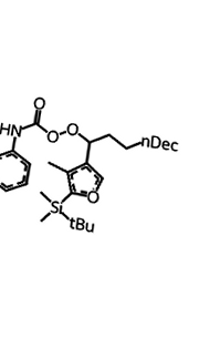 CCCCCCCCCCCCC(OOC(=O)Nc1ccccc1)c1coc([Si](C)(C)C(C)(C)C)c1C